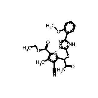 CCOC(=O)c1sc(C(Sc2nnc(-c3ccccc3OC)[nH]2)C(N)=O)c(C#N)c1C